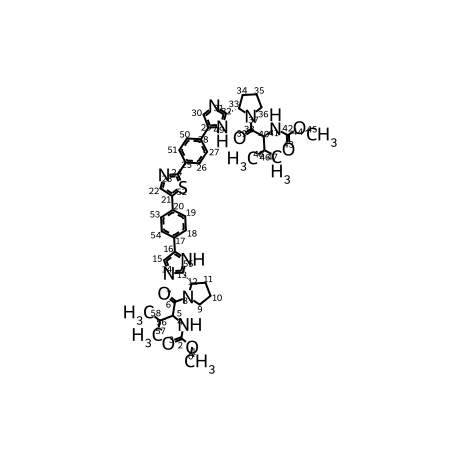 COC(=O)NC(C(=O)N1CCC[C@H]1c1ncc(-c2ccc(-c3cnc(-c4ccc(-c5cnc([C@@H]6CCCN6C(=O)[C@@H](NC(=O)OC)C(C)C)[nH]5)cc4)s3)cc2)[nH]1)C(C)C